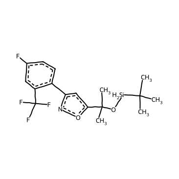 CC(C)(C)[SiH2]OC(C)(C)c1cc(-c2ccc(F)cc2C(F)(F)F)no1